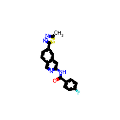 Cc1nnc(-c2ccc3cnc(NC(=O)c4ccc(F)cc4)cc3c2)s1